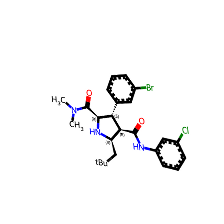 CN(C)C(=O)[C@@H]1N[C@H](CC(C)(C)C)[C@H](C(=O)Nc2cccc(Cl)c2)[C@H]1c1cccc(Br)c1